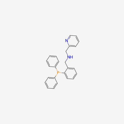 c1ccc(P(c2ccccc2)c2ccccc2CNCc2ccccn2)cc1